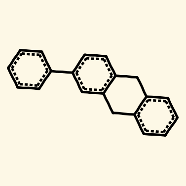 c1ccc(-c2ccc3c(c2)Cc2ccccc2C3)cc1